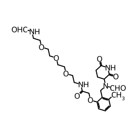 Cc1cccc(OCC(=O)NCCOCCOCCOCCNC=O)c1CN(C=O)C1CCC(=O)NC1=O